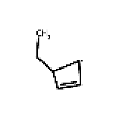 CC[C]1[CH]C=C1